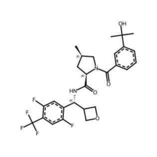 C[C@@H]1C[C@H](C(=O)N[C@@H](c2cc(F)c(C(F)(F)F)cc2F)C2COC2)N(C(=O)c2cccc(C(C)(C)O)c2)C1